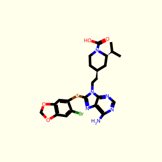 CC(C)[C@@H]1C[C@@H](CCn2c(Sc3cc4c(cc3Br)OCO4)nc3c(N)ncnc32)CCN1C(=O)O